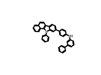 c1ccc(-c2cccc(Nc3ccc(-c4ccc5c6ccc7ccccc7c6n(-c6ccccc6)c5c4)cc3)c2)cc1